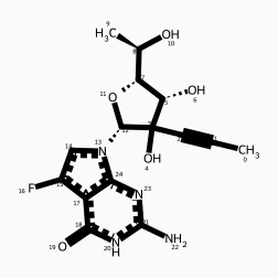 CC#CC1(O)[C@@H](O)[C@@H]([C@@H](C)O)O[C@H]1n1cc(F)c2c(=O)[nH]c(N)nc21